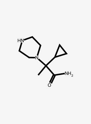 CC(C(N)=O)(C1CC1)N1CCNCC1